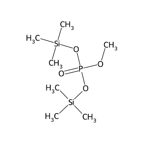 COP(=O)(O[Si](C)(C)C)O[Si](C)(C)C